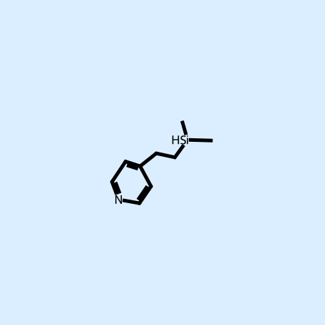 C[SiH](C)CCc1ccncc1